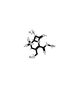 CC(=O)OCC1=C(C(=O)OC(C)(C)C)N2C(=O)[C@@H](N)C2S(=O)(=O)C1